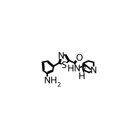 Nc1cccc(-c2ncc(C(=O)N[C@H]3CN4CCC3CC4)s2)c1